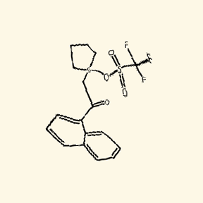 O=C(CS1(OS(=O)(=O)C(F)(F)F)CCCC1)c1cccc2ccccc12